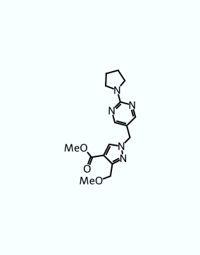 COCc1nn(Cc2cnc(N3CCCC3)nc2)cc1C(=O)OC